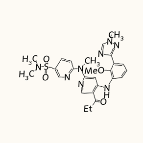 CCC(=O)c1cnc(N(C)c2ccc(S(=O)(=O)N(C)C)cn2)cc1Nc1cccc(-c2ncn(C)n2)c1OC